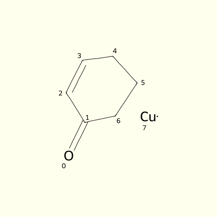 O=C1C=CCCC1.[Cu]